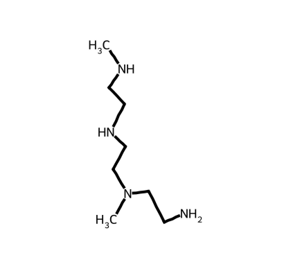 CNCCNCCN(C)CCN